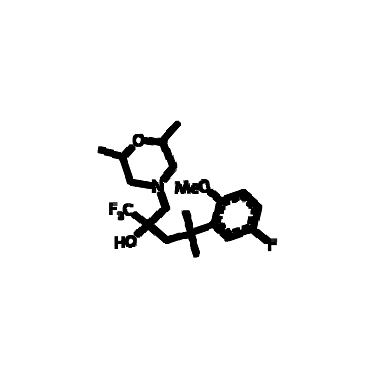 COc1ccc(F)cc1C(C)(C)CC(O)(CN1CC(C)OC(C)C1)C(F)(F)F